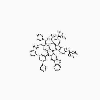 Cc1c2ccccc2c(C)c2cc3c(cc12)B(n1c2ccc(C(C)(C)C)cc2c2cc(C(C)(C)C)cc(C)c21)c1cc2oc4ccccc4c2cc1N3c1cc(-c2ccccc2)cc(-c2ccccc2)c1